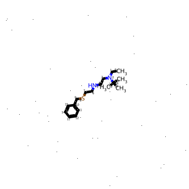 CCN(CCNCCSCc1ccccc1)C(C)(C)C